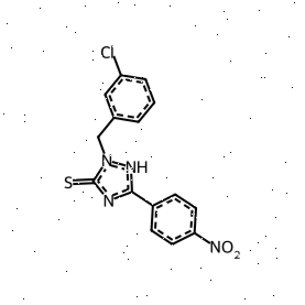 O=[N+]([O-])c1ccc(-c2nc(=S)n(Cc3cccc(Cl)c3)[nH]2)cc1